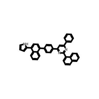 c1ccc(-c2cc(-c3ccc(-c4ccc(-c5ccc[nH]5)c5ccccc45)cc3)nc(-c3cccc4ccccc34)n2)cc1